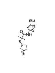 CC(C)(SN1CC[C@@H](F)C1)C(=O)Nc1cc(C(C)(C)C)ns1